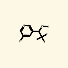 Fc1cncc(C(OI)C(F)(F)F)c1